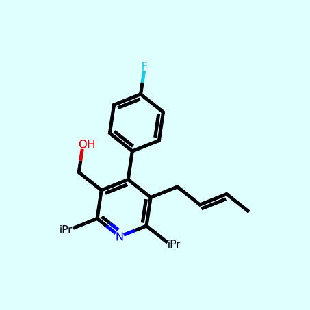 CC=CCc1c(C(C)C)nc(C(C)C)c(CO)c1-c1ccc(F)cc1